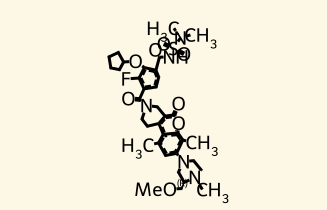 COC[C@H]1CN(c2cc(C)c3c4c(c(=O)oc3c2C)CN(C(=O)c2ccc(C(=O)NS(=O)(=O)N(C)C)c(OC3CCCC3)c2F)CC4)CCN1C